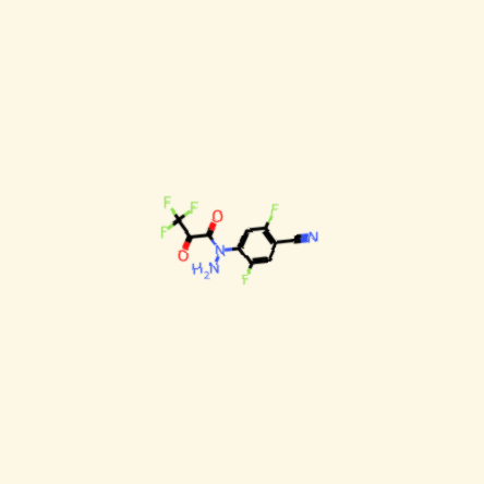 N#Cc1cc(F)c(N(N)C(=O)C(=O)C(F)(F)F)cc1F